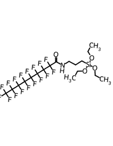 CCO[Si](CCCNC(=O)C(F)(F)C(F)(F)C(F)(F)C(F)(F)C(F)(F)C(F)(F)C(F)(F)C(F)(F)F)(OCC)OCC